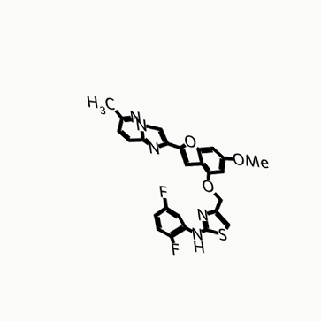 COc1cc(OCc2csc(Nc3cc(F)ccc3F)n2)c2cc(-c3cn4nc(C)ccc4n3)oc2c1